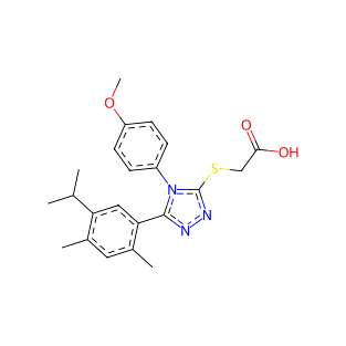 COc1ccc(-n2c(SCC(=O)O)nnc2-c2cc(C(C)C)c(C)cc2C)cc1